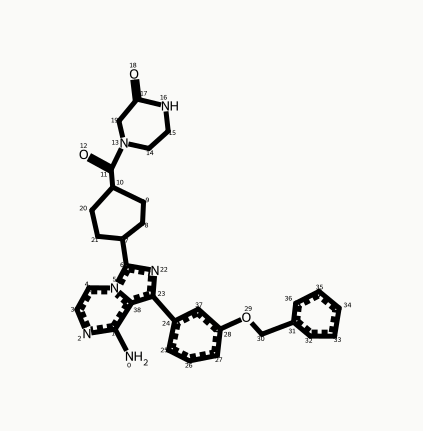 Nc1nccn2c(C3CCC(C(=O)N4CCNC(=O)C4)CC3)nc(-c3cccc(OCc4ccccc4)c3)c12